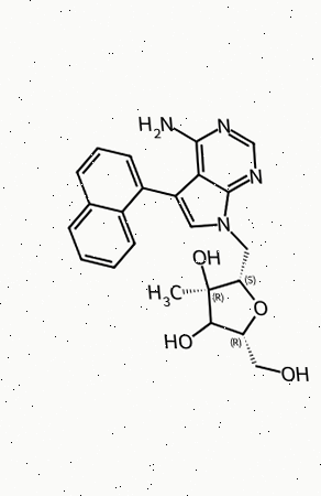 C[C@@]1(O)C(O)[C@@H](CO)O[C@H]1Cn1cc(-c2cccc3ccccc23)c2c(N)ncnc21